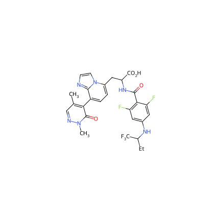 CCC(Nc1cc(F)c(C(=O)NC(Cc2ccc(-c3c(C)cnn(C)c3=O)c3nccn23)C(=O)O)c(F)c1)C(F)(F)F